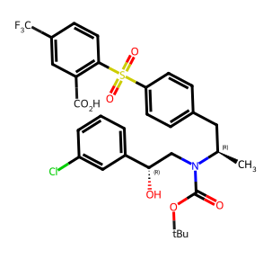 C[C@H](Cc1ccc(S(=O)(=O)c2ccc(C(F)(F)F)cc2C(=O)O)cc1)N(C[C@H](O)c1cccc(Cl)c1)C(=O)OC(C)(C)C